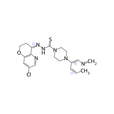 C=N/C=C(\C=C/C)N1CCN(C(=S)N/N=C2/CCOc3cc(Cl)cnc32)CC1